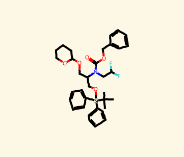 CC(C)(C)[Si](OCC(COC1CCCCO1)N(CC(F)F)C(=O)OCc1ccccc1)(c1ccccc1)c1ccccc1